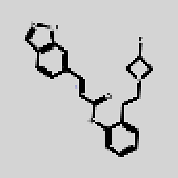 O=C(/C=C/c1ccc2cn[nH]c2c1)Nc1ccccc1CCN1CC(F)C1